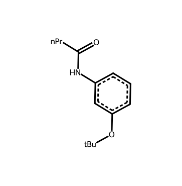 CCCC(=O)Nc1cccc(OC(C)(C)C)c1